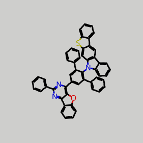 c1ccc(-c2nc(-c3cc(-c4ccccc4)c(-n4c5ccccc5c5cc6c(cc54)sc4ccccc46)c(-c4ccccc4)c3)c3oc4ccccc4c3n2)cc1